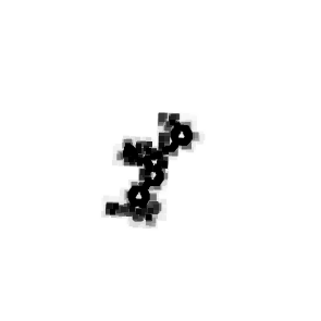 COc1ccc(-c2ccc3nc(NCc4cccc(C(F)(F)F)c4)nc(NC4(C(F)(F)F)CC4)c3n2)cc1S(C)(=O)=O